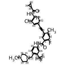 Cc1cc(F)c(C(=O)Nc2ccc(CN3CCN(C)CC3)c(C(F)(F)F)c2)cc1C#Cc1cnc(NC(=O)C2CC2)c(Cl)c1